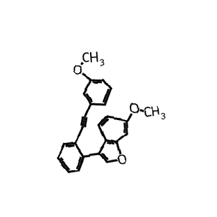 COc1cccc(C#Cc2ccccc2-c2coc3cc(OC)ccc23)c1